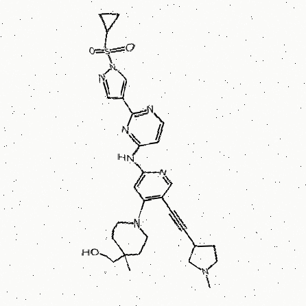 CN1CCC(C#Cc2cnc(Nc3ccnc(-c4cnn(S(=O)(=O)C5CC5)c4)n3)cc2N2CCC(C)(CO)CC2)C1